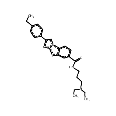 CCc1ccc(-c2cn3c(n2)sc2cc(C(=O)NCCCN(CC)CC)ccc23)cc1